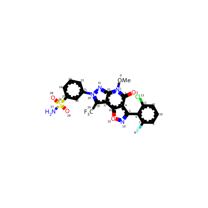 COn1c(=O)c2c(-c3c(F)cccc3Cl)noc2c2c(C(F)(F)F)n(-c3cccc(S(N)(=O)=O)c3)nc21